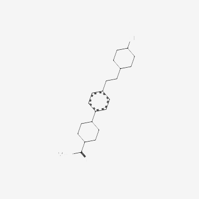 COC(=O)C1CCC(c2ccc(CCC3CCC(C)CC3)cc2)CC1